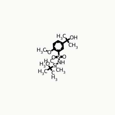 COc1ccc(C(C)(C)O)cc1S(=O)(=O)N[Si](C)(C)C(C)(C)C